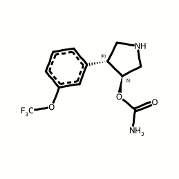 NC(=O)O[C@@H]1CNC[C@H]1c1cccc(OC(F)(F)F)c1